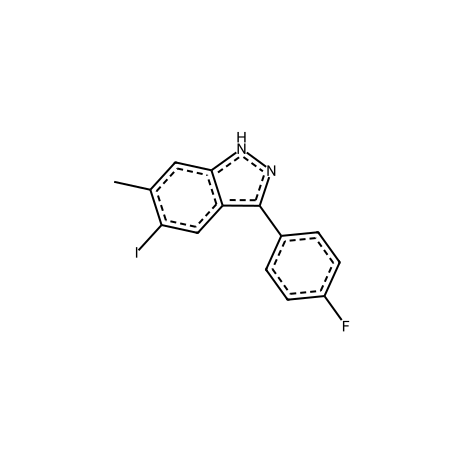 Cc1cc2[nH]nc(-c3ccc(F)cc3)c2cc1I